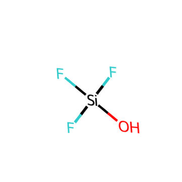 O[Si](F)(F)F